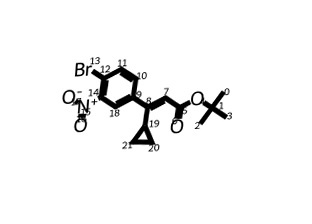 CC(C)(C)OC(=O)C=C(c1ccc(Br)c([N+](=O)[O-])c1)C1CC1